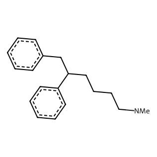 CNCCCCC(Cc1ccccc1)c1ccccc1